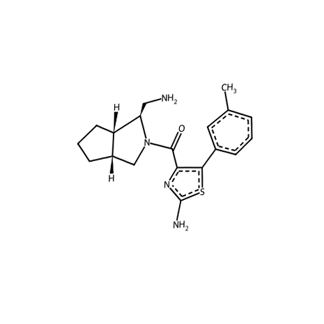 Cc1cccc(-c2sc(N)nc2C(=O)N2C[C@@H]3CCC[C@@H]3[C@H]2CN)c1